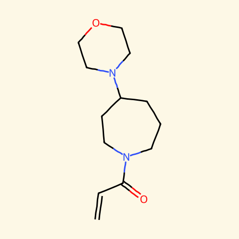 C=CC(=O)N1CCCC(N2CCOCC2)CC1